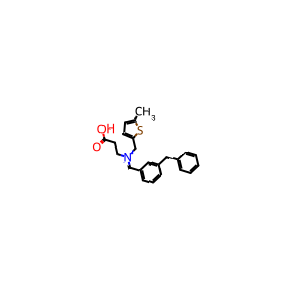 Cc1ccc(CN(CCC(=O)O)Cc2cccc(Cc3ccccc3)c2)s1